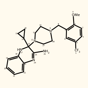 COc1ccc(C(F)(F)F)cc1CN1CCN(C2(C3CC3)Nc3ccccc3N=C2N)CC1